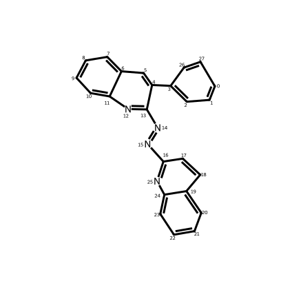 c1ccc(-c2cc3ccccc3nc2N=Nc2ccc3ccccc3n2)cc1